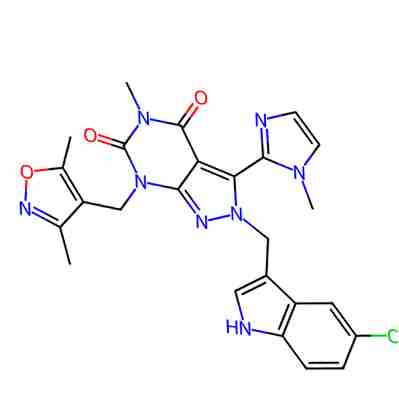 Cc1noc(C)c1Cn1c(=O)n(C)c(=O)c2c(-c3nccn3C)n(Cc3c[nH]c4ccc(Cl)cc34)nc21